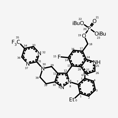 CCc1cccc(CC)c1-n1nc2c(c1-c1c(F)cc(COP(=O)(OCC(C)C)OCC(C)C)c3[nH]ccc13)CN(c1ncc(C(F)(F)F)cn1)CC2